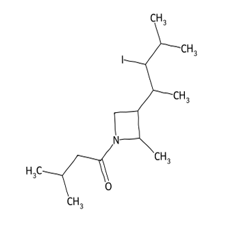 CC(C)CC(=O)N1CC(C(C)C(I)C(C)C)C1C